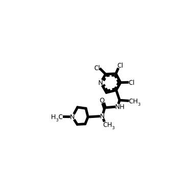 CC(NC(=O)N(C)C1CCN(C)CC1)c1cnc(Cl)c(Cl)c1Cl